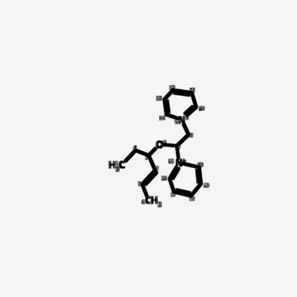 CC=CC(CC)OC(C[n+]1ccccc1)[n+]1ccccc1